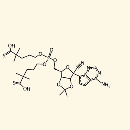 CC1(C)OC2C(O1)C(C#N)(c1ccc3c(N)ncnn13)O[C@@H]2COP(=O)(OCCCC(C)(C)C(O)=S)OCCCC(C)(C)C(O)=S